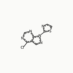 Clc1ncnc2c1cnn2-c1nccs1